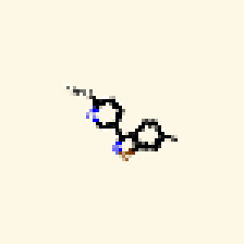 COc1ccc(-c2nsc3cc(C)ccc23)cn1